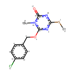 CCSc1nc(OCc2ccc(Cl)cc2)n(C(C)(C)C)c(=O)n1